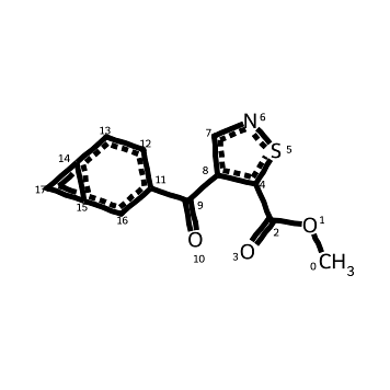 COC(=O)c1sncc1C(=O)c1ccc2c(c1)=C=2